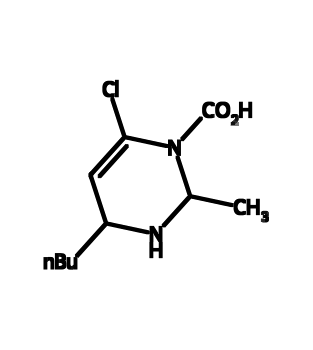 CCCCC1C=C(Cl)N(C(=O)O)C(C)N1